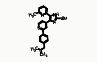 Cc1cccc(-c2[nH]c(C(C)(C)C)nc2-c2ccnc(-c3ccc(CN(C)C)cc3)c2)n1